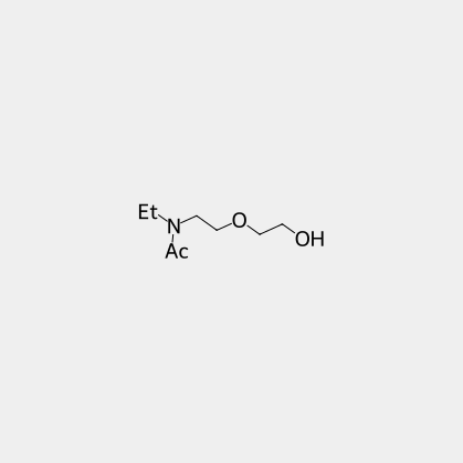 CCN(CCOCCO)C(C)=O